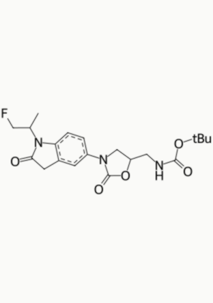 CC(CF)N1C(=O)Cc2cc(N3CC(CNC(=O)OC(C)(C)C)OC3=O)ccc21